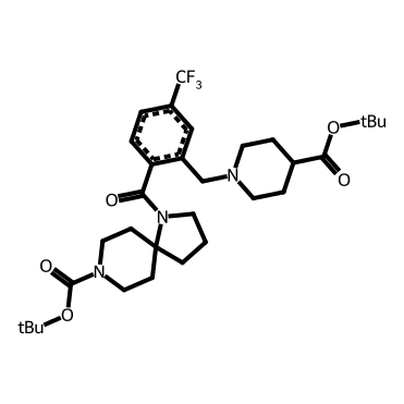 CC(C)(C)OC(=O)C1CCN(Cc2cc(C(F)(F)F)ccc2C(=O)N2CCCC23CCN(C(=O)OC(C)(C)C)CC3)CC1